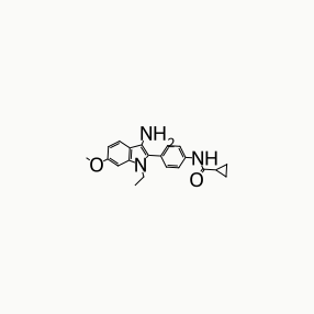 CCn1c(-c2ccc(NC(=O)C3CC3)cc2)c(N)c2ccc(OC)cc21